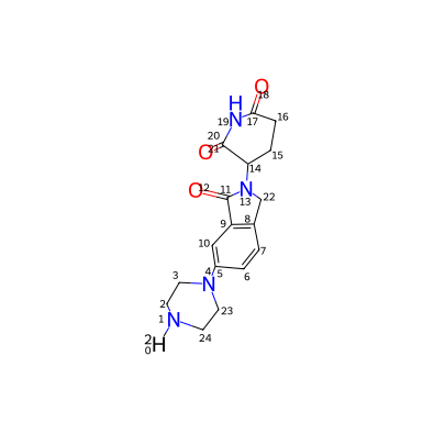 [2H]N1CCN(c2ccc3c(c2)C(=O)N(C2CCC(=O)NC2=O)C3)CC1